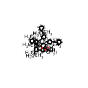 CC(C)(C)c1ccc(-c2cc(C(C)(C)C)ccc2N2c3cc4c(cc3C3Bc5c(cc(C(C)(C)C)cc52)N(c2ccc(C(C)(C)c5ccccc5)cc2)c2ccc(C(C)(C)c5ccccc5)cc23)C(C)(C)CCC4(C)C)cc1